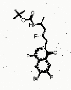 C[C@@H](C[C@@H](F)Cn1cc(F)c2cc(Br)c(F)cc2c1=O)NC(=O)OC(C)(C)C